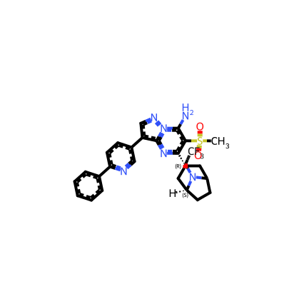 CS(=O)(=O)c1c([C@@H]2CC3CC[C@@H](C2)N3CC(F)(F)F)nc2c(-c3ccc(-c4ccccc4)nc3)cnn2c1N